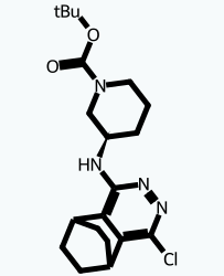 CC(C)(C)OC(=O)N1CCC[C@@H](Nc2nnc(Cl)c3c2C2CCC3CC2)C1